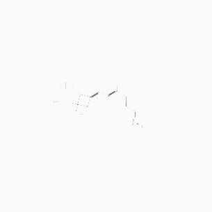 C/C(=C\C=C1/CC(C)(C)C1C)CCCN(C)C